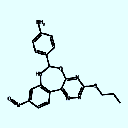 Bc1ccc(C2Nc3cc(N=O)ccc3-c3nnc(SCCC)nc3O2)cc1